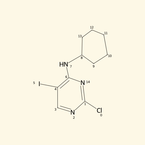 Clc1ncc(I)c(NC2CCCCC2)n1